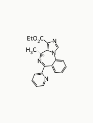 CCOC(=O)c1ncn2c1[C@@H](C)N=C(c1ccccn1)c1ccccc1-2